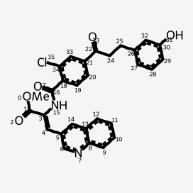 COC(=O)C(=Cc1cnc2ccccc2c1)NC(=O)c1ccc(C(=O)CCc2cccc(O)c2)cc1Cl